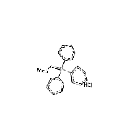 CSC=P(c1ccccc1)(c1ccccc1)c1ccccc1.Cl